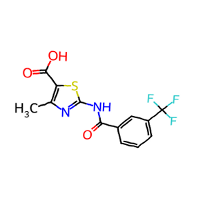 Cc1nc(NC(=O)c2cccc(C(F)(F)F)c2)sc1C(=O)O